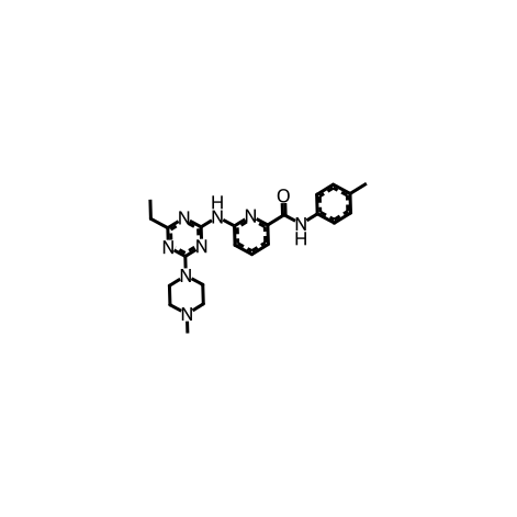 CCc1nc(Nc2cccc(C(=O)Nc3ccc(C)cc3)n2)nc(N2CCN(C)CC2)n1